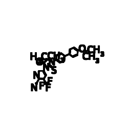 CC(C)Oc1ccc(-c2ccc(N3C(=S)N(c4cnc(C#N)c(C(F)(F)F)c4)C(=O)C3(C)C)cc2)cc1